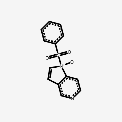 O=S(=O)(c1ccccc1)[N+]1([O-])C=Cc2cnccc21